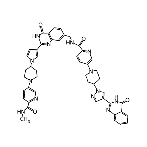 CNC(=O)c1ccc(N2CCC(n3ccc(-c4nc5cc(CNC(=O)c6ccc(N7CCC(n8cc(-c9nc%10ccccc%10c(=O)[nH]9)cn8)CC7)cn6)ccc5c(=O)[nH]4)c3)CC2)cn1